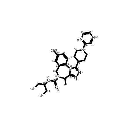 CC1c2nnc(C3CCN(c4cnccn4)CC3)n2-c2ccc(Cl)cc2CN1C(=O)OC(CF)CF